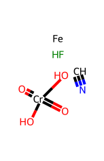 C#N.F.[Fe].[O]=[Cr](=[O])([OH])[OH]